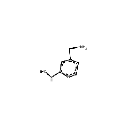 CCCNc1cc(CN)ccn1